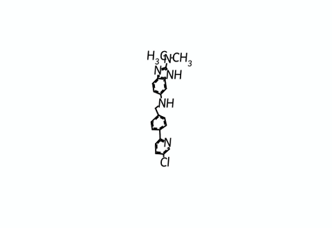 CN(C)c1nc2ccc(NCc3ccc(-c4ccc(Cl)cn4)cc3)cc2[nH]1